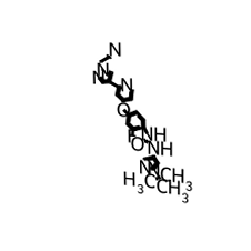 CC(C)(C)n1cc(NC(=O)Nc2ccc(Oc3ccnc(-c4cnn(CC#N)c4)c3)cc2F)cn1